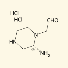 Cl.Cl.N[C@@H]1CNCCN1CC=O